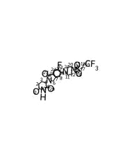 O=C1CCC(N2Cc3cc(N4CCN(S(=O)(=O)CCC(F)(F)F)CC4)c(F)cc3C2=O)C(=O)N1